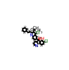 CC(C)(C)c1c(/C=C/c2ccccc2)nc2ccc(C(O)(c3cccnc3)c3cccc(Cl)c3)cc2c1Cl